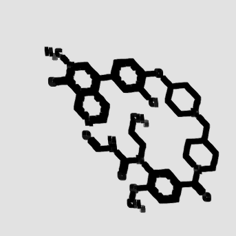 CCCN(C(=O)NC=O)c1cc(C(=O)N2CCC(CN3CCC(Oc4ccc(-c5cn(C)c(=O)c6cnccc56)cc4Cl)CC3)CC2)ccc1OC